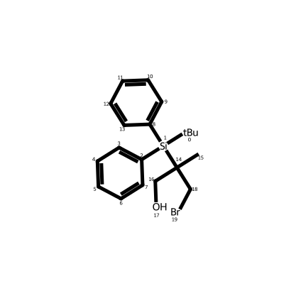 CC(C)(C)[Si](c1ccccc1)(c1ccccc1)C(C)(CO)CBr